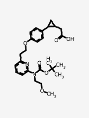 COCCN(C(=O)OC(C)(C)C)c1cccc(CCOc2ccc(C3CC3CC(=O)O)cc2)n1